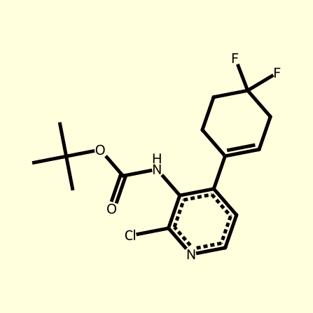 CC(C)(C)OC(=O)Nc1c(C2=CCC(F)(F)CC2)ccnc1Cl